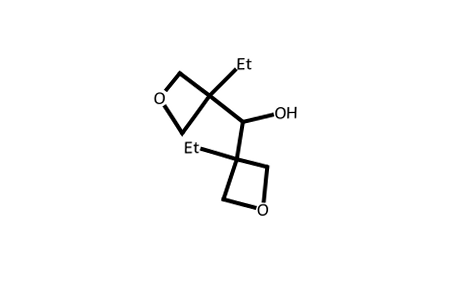 CCC1(C(O)C2(CC)COC2)COC1